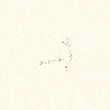 C=CCC(CC(C)SCCCn1cc(COCC(C)(COCc2cn(CCCSC(C)CC(CC)C(=O)NC(CO)(CO)CO)nn2)NC(=O)CCSCCC)nn1)C(=O)NC(CO)(CO)CO